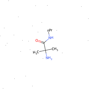 CCCNC(=O)C(C)(C)N